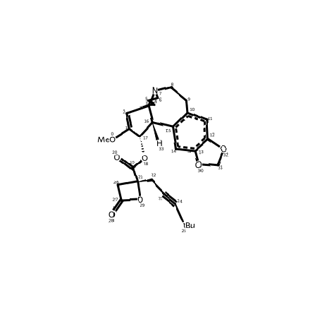 COC1=C[C@]23CCCN2CCc2cc4c(cc2[C@@H]3[C@@H]1OC(=O)[C@@]1(CC#CC(C)(C)C)CC(=O)O1)OCO4